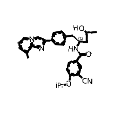 Cc1cccn2cc(-c3ccc(C[C@@H](CC(C)O)NC(=O)c4ccc(OC(C)C)c(C#N)c4)cc3)nc12